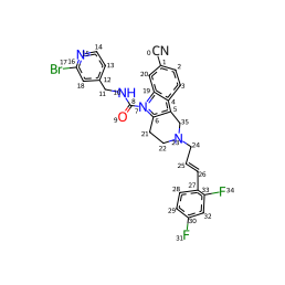 N#Cc1ccc2c3c(n(C(=O)NCc4ccnc(Br)c4)c2c1)CCN(C/C=C/c1ccc(F)cc1F)C3